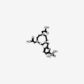 O=C(O)CN1CCN(CC(=O)O)CCN(Cc2cccc(P(=O)(O)O)n2)CC1